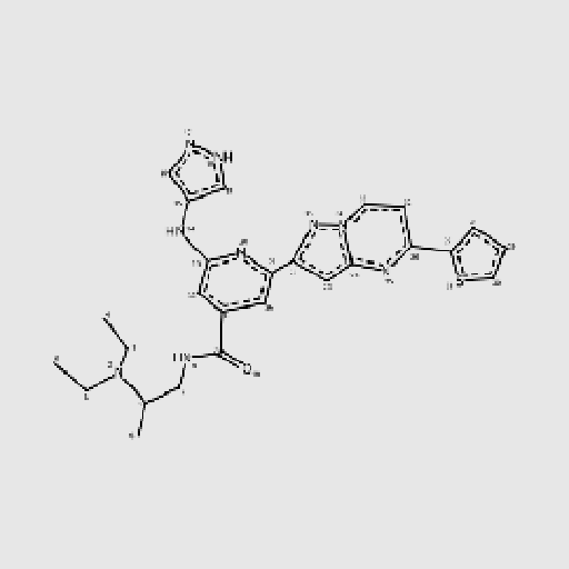 CCN(CC)C(C)CNC(=O)c1cc(Nc2cn[nH]c2)nc(-c2cc3nc(-c4cccs4)ccn3n2)c1